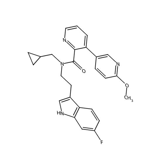 COc1ccc(-c2cccnc2C(=O)N(CCc2c[nH]c3cc(F)ccc23)CC2CC2)cn1